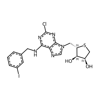 O[C@@H]1[C@H](O)CS[C@H]1Cn1cnc2c(NCc3cccc(I)c3)nc(Cl)nc21